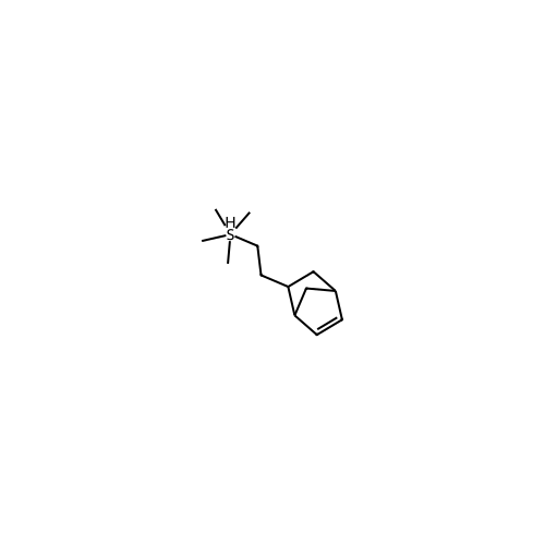 C[SH](C)(C)(C)CCC1CC2C=CC1C2